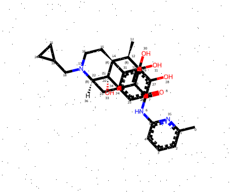 Cc1cccc(NC(=O)C2=C(O)[C@H](C)[C@]34CCN(CC5CC5)[C@H](Cc5ccc(O)c(O)c53)[C@]4(O)C2)n1